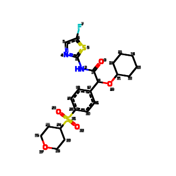 O=C(Nc1ncc(F)s1)C(OC1CCCCC1)c1ccc(S(=O)(=O)C2CCOCC2)cc1